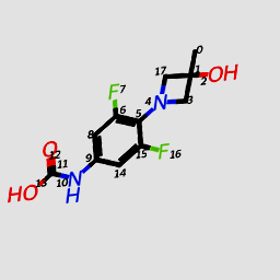 CC1(O)CN(c2c(F)cc(NC(=O)O)cc2F)C1